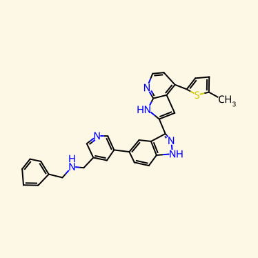 Cc1ccc(-c2ccnc3[nH]c(-c4n[nH]c5ccc(-c6cncc(CNCc7ccccc7)c6)cc45)cc23)s1